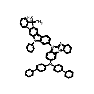 CC1(C)c2ccccc2-c2cc3c(cc21)c1ccc(-n2c4ccc(N(c5ccc(-c6ccccc6)cc5)c5ccc(-c6ccccc6)cc5)cc4n4c5ccccc5nc24)cc1n3-c1ccccc1